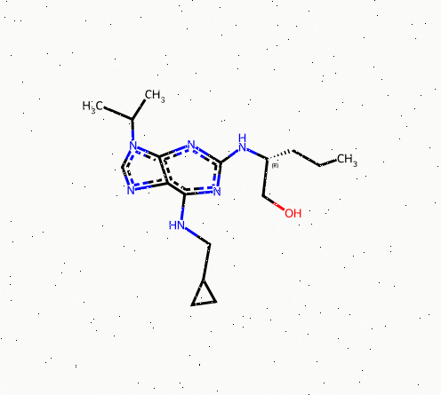 CCC[C@H](CO)Nc1nc(NCC2CC2)c2ncn(C(C)C)c2n1